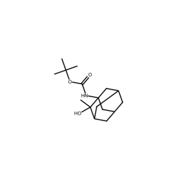 CC(C)(C)OC(=O)NC12CC3CC(CC(C3)C1(C)O)C2